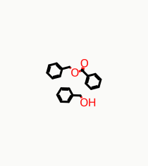 O=C(OCc1ccccc1)c1ccccc1.OCc1ccccc1